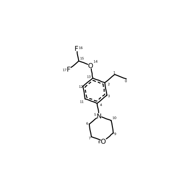 CCc1cc(N2CCOCC2)ccc1OC(F)F